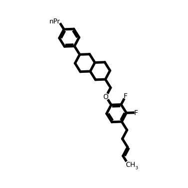 C/C=C/CCc1ccc(OCC2CCC3CC(c4ccc(CCC)cc4)CCC3C2)c(F)c1F